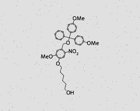 COc1ccc(C(OCc2cc(OC)c(OCCCCCCO)cc2[N+](=O)[O-])(c2ccccc2)c2ccc(OC)cc2)cc1